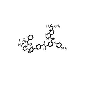 CC(C)c1ccc2c(Nc3cc(C(=O)Nc4ccc(-c5c[nH]c(C6CCCN6C(=O)C(c6ccccc6)N(C)C)n5)cc4)ccc3Sc3ccc(N)cc3)ncnc2n1